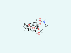 CC1=C[C@@]23CC[C@@H]4[C@@H]([C@H](C=C5COC(C)(C)O[C@H]5[C@]2(O)[C@H]1OC(=O)N(C)C1CC1)C3=O)C4(C)C